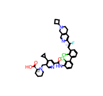 O=C(Nc1cccc(-c2cccc(/C=C(\F)c3cc4c(cn3)CN(C3CCC3)CC4)c2Cl)c1Cl)c1cc(C2CC2)c(CN2CCCC[C@H]2C(=O)O)cn1